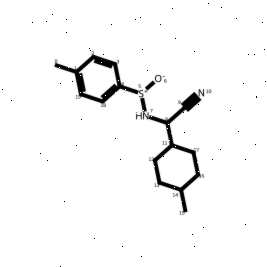 Cc1ccc([S+]([O-])NC(C#N)C2CCC(C)CC2)cc1